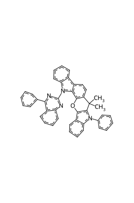 CC1(C)c2ccc3c4ccccc4n(-c4nc(-c5ccccc5)c5ccccc5n4)c3c2Oc2c1n(-c1ccccc1)c1ccccc21